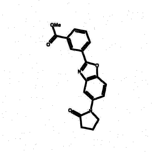 COC(=O)c1cccc(-c2nc3cc(N4CCCC4=O)ccc3o2)c1